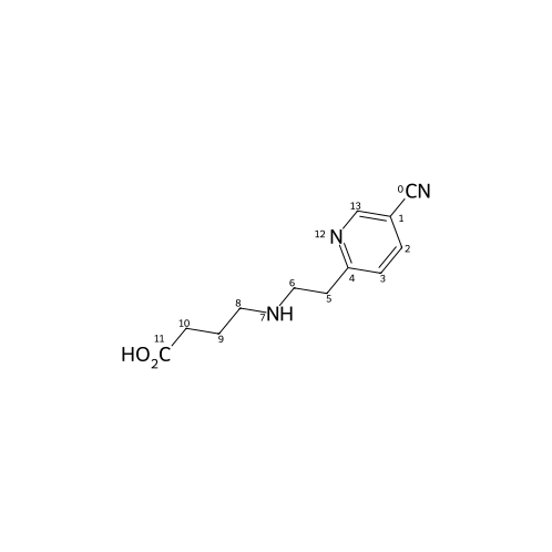 N#Cc1ccc(CCNCCCC(=O)O)nc1